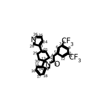 CN(C(=O)Cc1cc(C(F)(F)F)cc(C(F)(F)F)c1)C1(c2ccccc2)CC=C(c2cccnc2)CC1